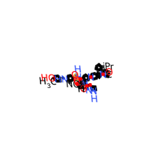 CC(C)c1ccccc1[C@@H]1COCCCN1C1CC2(CCN(c3ccc(C(=O)NS(=O)(=O)c4ccc(NC[C@H]5CC[C@](C)(O)CC5)c([N+](=O)[O-])c4)c(N4c5cc6cc[nH]c6nc5O[C@@H]5CCOC[C@H]54)c3)CC2)C1